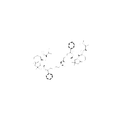 CNC(C)C(=O)N[C@H]1CCS[C@H]2CC(C)(C)[C@@H](C(=O)NC(COCCn3cc(COCC(NC(=O)[C@H]4N5C(=O)[C@@H](NC(=O)C(C)NC)CCS[C@H]5CC4(C)C)c4ccccc4)nn3)c3ccccc3)N2C1=O